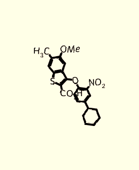 COc1cc2c(Oc3ccc(C4CCCCC4)cc3[N+](=O)[O-])c(C(=O)O)sc2cc1C